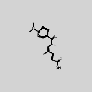 CC(C=CC(=O)O)=C[C@@H](C)C(=O)c1ccc(N(C)C)cc1